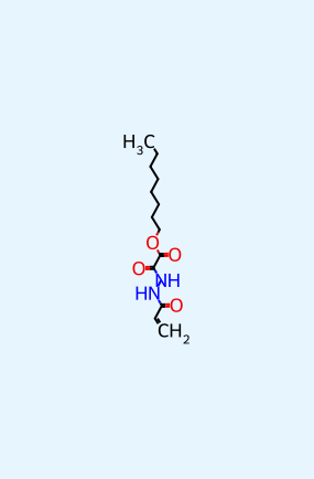 C=CC(=O)NNC(=O)C(=O)OCCCCCCCC